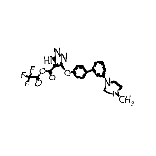 CN1CCN(c2cccc(-c3ccc(Oc4nn[nH]c4C(=O)OC(=O)C(F)(F)F)cc3)c2)CC1